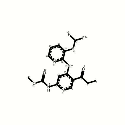 CCC(=O)c1cnc(NC(=O)OC)cc1Nc1ncccc1SC(F)F